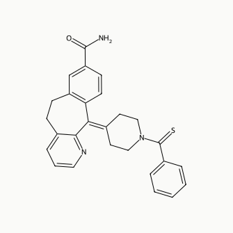 NC(=O)c1ccc2c(c1)CCc1cccnc1C2=C1CCN(C(=S)c2ccccc2)CC1